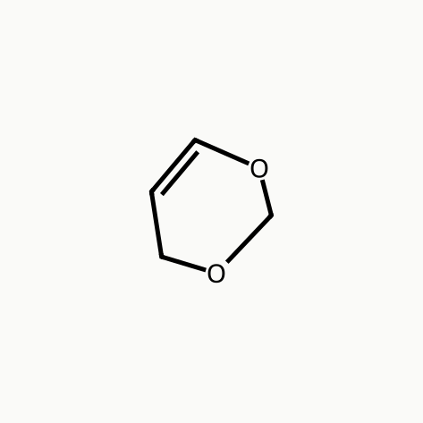 C1=COCOC1